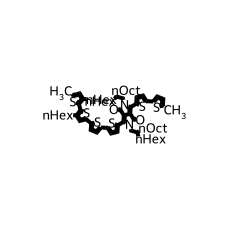 CCCCCCCCC(CCCCCC)CN1C(=O)C2=C(c3ccc(-c4ccc(-c5cc(CCCCCC)c(-c6sc(C)cc6CCCCCC)s5)s4)s3)N(CC(CCCCCC)CCCCCCCC)C(=O)C2=C1c1ccc(-c2ccc(C)s2)s1